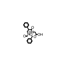 O=CN(CC(C(=O)NCC(=O)O)c1ccccc1)OCc1ccccc1